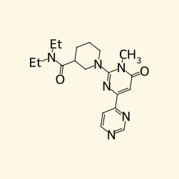 CCN(CC)C(=O)C1CCCN(c2nc(-c3ccncn3)cc(=O)n2C)C1